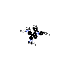 C=Cc1ccc(CN(Cc2ccc(C=C)cc2)c2ccc(C(=C3C=CC(=[N+](CC)CC)C=C3)c3ccc(N(CC)CC)cc3)c3ccccc23)cc1